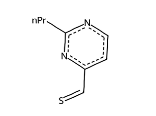 CCCc1nccc(C=S)n1